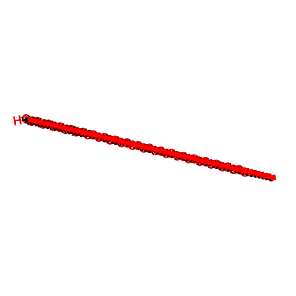 CCCCCCCCCCCCCCCOCCOCCOCCOCCOCCOCCOCCOCCOCCOCCOCCOCCOCCOCCOCCOCCOCCOCCOCCOCCOCCOCCOCCOCCOCCOCCOCCOCCOCCOCCOCCOCCOCCOCCOCCOCCOCCOCCOCCO